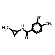 Cc1ccc(C(=O)NC2CC2C)cc1Br